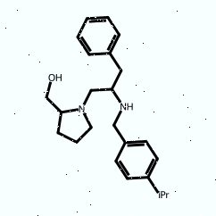 CC(C)c1ccc(CNC(Cc2ccccc2)CN2CCCC2CO)cc1